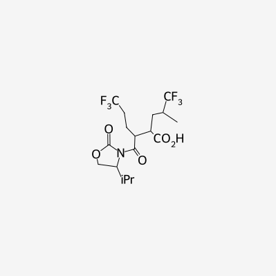 CC(C)C1COC(=O)N1C(=O)C(CCC(F)(F)F)C(CC(C)C(F)(F)F)C(=O)O